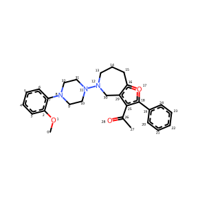 COc1ccccc1N1CCN(N2CCCc3oc(-c4ccccc4)c(C(C)=O)c3C2)CC1